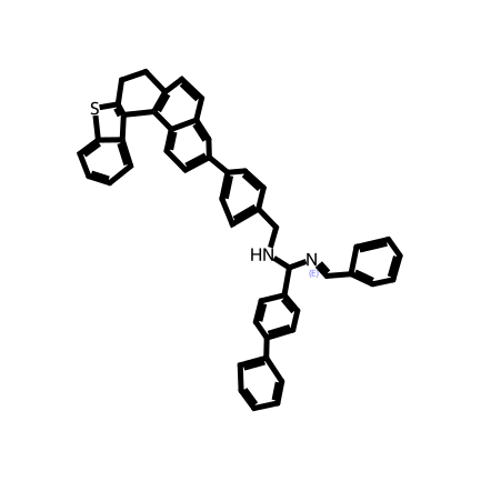 C(=N\C(NCc1ccc(-c2ccc3c4c(ccc3c2)CCc2sc3ccccc3c2-4)cc1)c1ccc(-c2ccccc2)cc1)/c1ccccc1